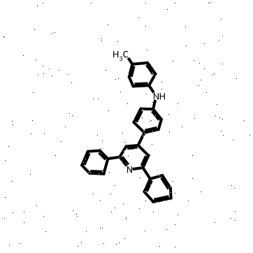 Cc1ccc(Nc2ccc(-c3cc(-c4ccccc4)nc(-c4ccccc4)c3)cc2)cc1